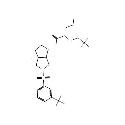 CCC[C@H](NCC(C)(C)C)C(=O)N[C@H]1CC[C@@H]2CN(S(=O)(=O)c3cccc(C(F)(F)F)c3)C[C@@H]21